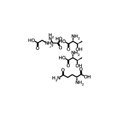 C[C@@H](O)[C@H](N)C(=O)O.C[C@@H](O)[C@H](N)C(=O)O.C[C@H](N)C(=O)O.NC(=O)CC[C@H](N)C(=O)O.NCC(=O)O